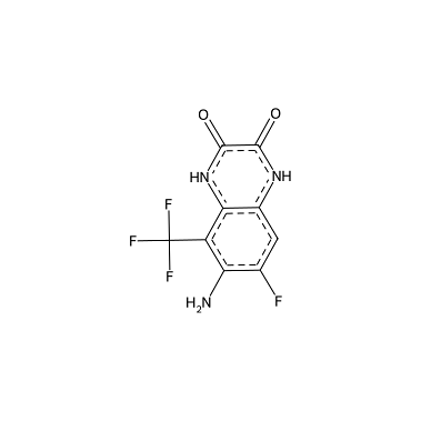 Nc1c(F)cc2[nH]c(=O)c(=O)[nH]c2c1C(F)(F)F